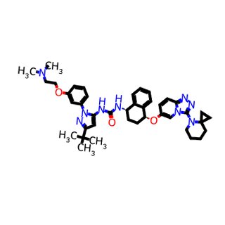 CN(C)CCOc1cccc(-n2nc(C(C)(C)C)cc2NC(=O)N[C@H]2CC[C@@H](Oc3ccc4nnc(N5CCCCC56CC6)n4c3)c3ccccc32)c1